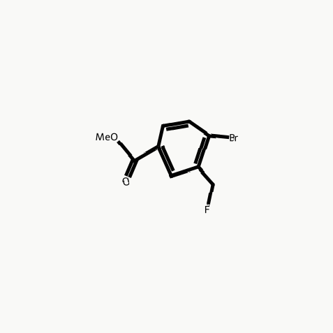 COC(=O)c1ccc(Br)c(CF)c1